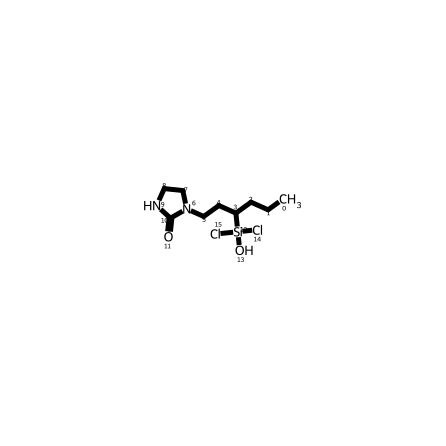 CCCC(CCN1CCNC1=O)[Si](O)(Cl)Cl